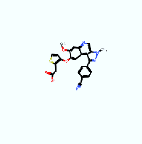 COc1cc2ncc3c(c(-c4ccc(C#N)cc4)nn3C)c2cc1Oc1ccsc1CC(=O)O